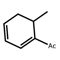 CC(=O)C1=CC=CCC1C